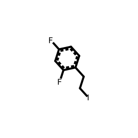 Fc1ccc(CCI)c(F)c1